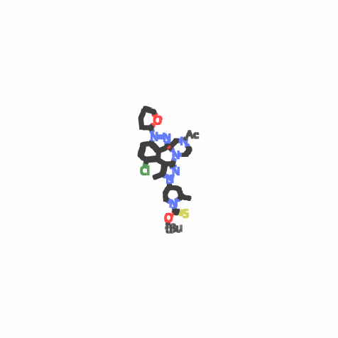 CC(=O)N1CCN(c2nn(C3CCN(C(=S)OC(C)(C)C)C(C)C3)c(C)c2-c2c(Cl)ccc3c2cnn3C2CCCCO2)CC1